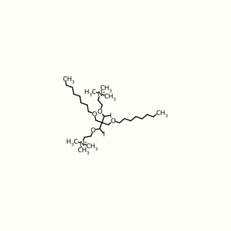 CCCCCCCCOCC(COCCCCCCCC)(C(I)OCC[N+](C)(C)C)C(I)OCC[N+](C)(C)C